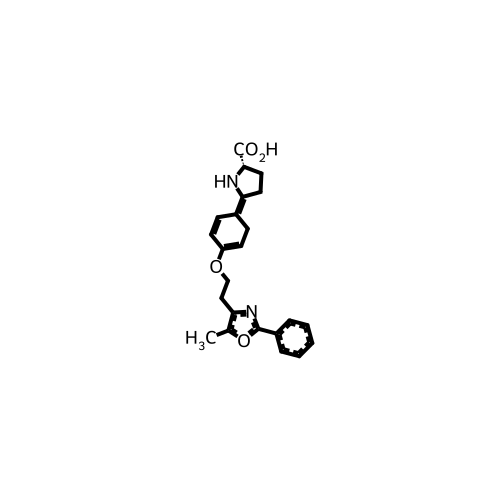 Cc1oc(-c2ccccc2)nc1CCOC1=CC/C(=C2\CC[C@@H](C(=O)O)N2)C=C1